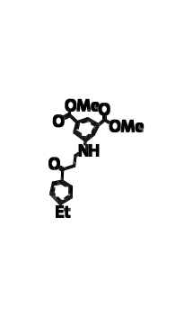 CCc1ccc(C(=O)CCNc2cc(C(=O)OC)cc(C(=O)OC)c2)cc1